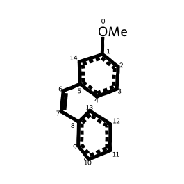 COc1cccc(/C=C\c2c[c]ccc2)c1